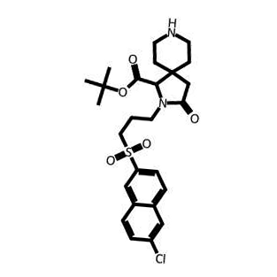 CC(C)(C)OC(=O)C1N(CCCS(=O)(=O)c2ccc3cc(Cl)ccc3c2)C(=O)CC12CCNCC2